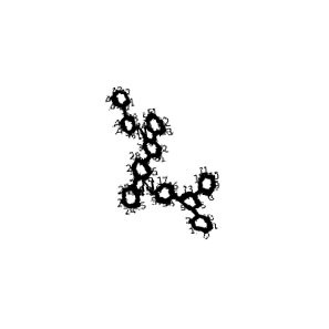 C1=CCC(C2C=C(c3ccccc3)C=C(C3=CCC(N4C5=C(CCCC5)C5CCC(C6C=CC7=C(C6)N(C6C=C(C8=CCCC=C8)C=CC6)C6C=CCCC76)=CC54)C=C3)C2)C=C1